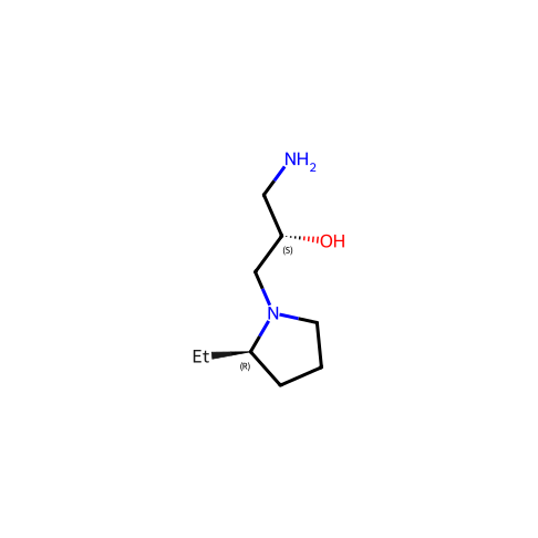 CC[C@@H]1CCCN1C[C@@H](O)CN